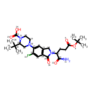 CC(C)(C)OC(=O)CCC(C(N)=O)N1Cc2cc(N3CCN(C(=O)O)C(C(C)(C)C)C3)c(F)cc2C1=O